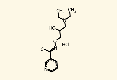 CCN(CC)CC(O)CON=C(Cl)c1cccnc1.Cl